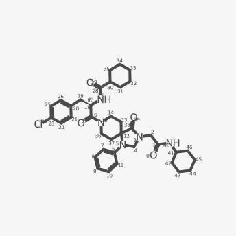 O=C(CN1CN(c2ccccc2)C2(CCN(C(=O)[C@@H](Cc3ccc(Cl)cc3)NC(=O)C3CCCCC3)CC2)C1=O)NC1CCCCC1